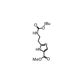 COC(=O)c1cnc(CCNC(=O)OC(C)(C)C)[nH]1